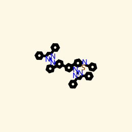 c1ccc(-c2cc(-c3ccccc3)nc(-n3c4ccccc4c4cc(-c5ccc6c(c5)c5ccc7nc(-c8ccccc8)sc7c5n6-c5nc(-c6ccccc6)cc(-c6ccccc6)n5)ccc43)n2)cc1